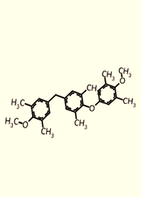 COc1c(C)cc(Cc2cc(C)c(Oc3cc(C)c(OC)c(C)c3)c(C)c2)cc1C